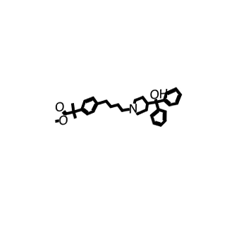 COC(=O)C(C)(C)c1ccc(CCCCN2CCC(C(O)(c3ccccc3)c3ccccc3)CC2)cc1